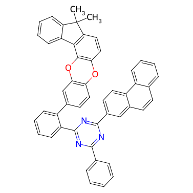 CC1(C)c2ccccc2-c2c1ccc1c2Oc2cc(-c3ccccc3-c3nc(-c4ccccc4)nc(-c4ccc5c(ccc6ccccc65)c4)n3)ccc2O1